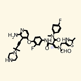 CC1NC(CN(C=O)/C=C(/C(=O)Nc2ccc(Oc3ccnc(N)c3C#CC(C)(C)N3CCNCC3)c(F)c2)C(=O)N(C)c2ccc(F)cc2)=CS1